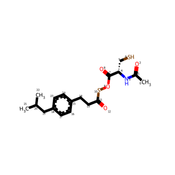 CC(=O)N[C@@H](CS)C(=O)OSC(=O)CCc1ccc(CC(C)C)cc1